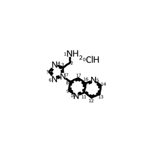 Cl.NCc1ncnn1-c1cnc2cccnc2c1